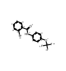 O=C(Nc1ccc(OC(F)(F)F)cc1)c1ccccc1Br